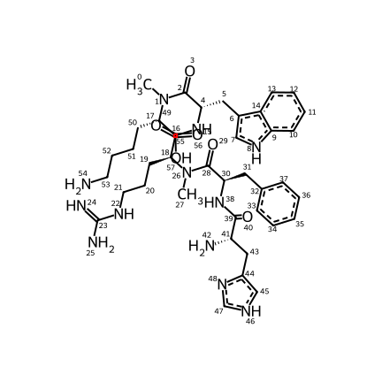 CN(C(=O)[C@H](Cc1c[nH]c2ccccc12)NC(=O)[C@H](CCCNC(=N)N)N(C)C(=O)[C@@H](Cc1ccccc1)NC(=O)[C@@H](N)Cc1c[nH]cn1)[C@@H](CCCCN)C(=O)O